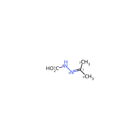 CC(C)=NNC(=O)O